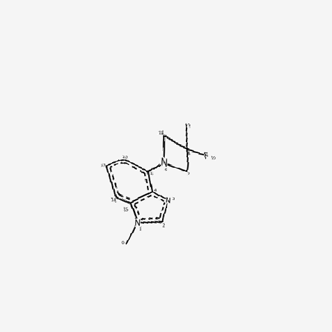 Cn1cnc2c(N3CC(C)(F)C3)cccc21